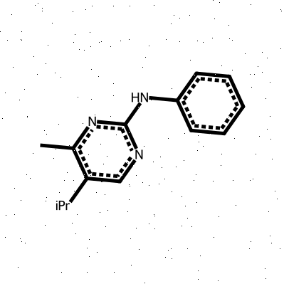 Cc1nc(Nc2ccccc2)ncc1C(C)C